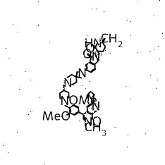 C=C1CC[C@H](N2Cc3ccc(N4CC5(CCN(CC6CCN(Cc7c(OC)cc(-c8cn(C)c(=O)c9cnc(N%10CCC%10)cc89)cc7OC)CC6)CC5)C4)cc3C2=O)C(=O)N1